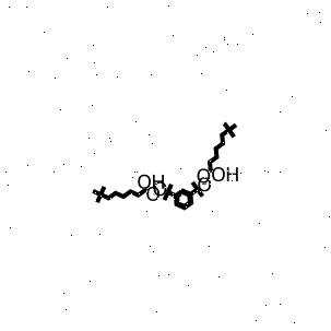 CC(C)(C)CCCCCC(O)OOC(C)(C)c1cccc(C(C)(C)OOC(O)CCCCCC(C)(C)C)c1